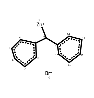 [Br-].[Zn+][CH](c1ccccc1)c1ccccc1